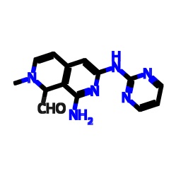 CN1C=Cc2cc(Nc3ncccn3)nc(N)c2C1C=O